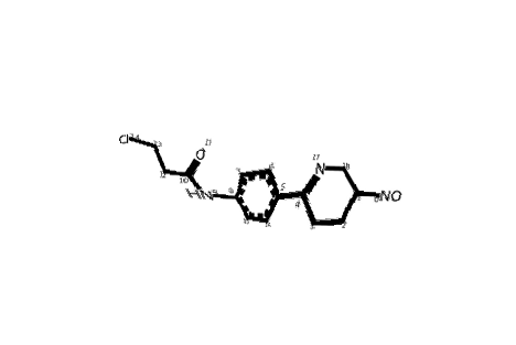 O=NC1CCC(c2ccc(NC(=O)CCCl)cc2)=NC1